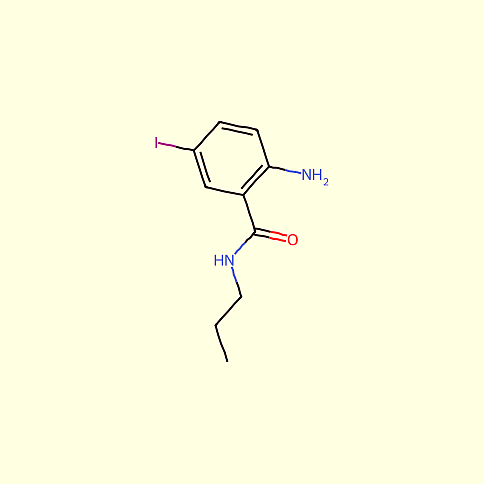 CCCNC(=O)c1cc(I)ccc1N